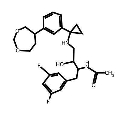 CC(=O)NC(Cc1cc(F)cc(F)c1)C(O)CNC1(c2cccc(C3CCOCOC3)c2)CC1